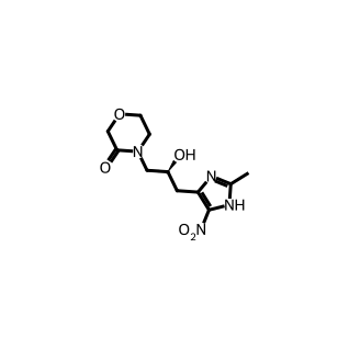 Cc1nc(C[C@H](O)CN2CCOCC2=O)c([N+](=O)[O-])[nH]1